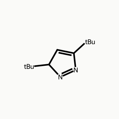 CC(C)(C)C1=CC(C(C)(C)C)N=N1